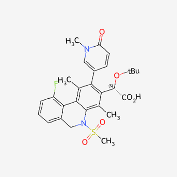 Cc1c(-c2ccc(=O)n(C)c2)c([C@H](OC(C)(C)C)C(=O)O)c(C)c2c1-c1c(F)cccc1CN2S(C)(=O)=O